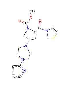 CC(C)(C)OC(=O)N1C[C@@H](N2CCN(c3ccccn3)CC2)C[C@H]1C(=O)N1CCSC1